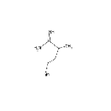 CCCCCC(C)C(=N)N